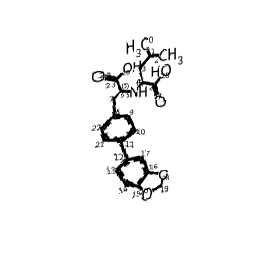 CC(C)C[C@H](N[C@@H](Cc1ccc(-c2ccc3c(c2)OCO3)cc1)C(=O)O)C(=O)O